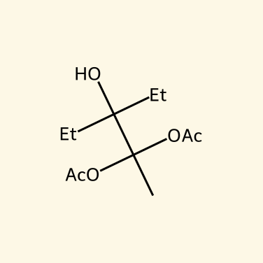 CCC(O)(CC)C(C)(OC(C)=O)OC(C)=O